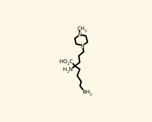 BCCCCC(N)(CCCN1CCN(C)CC1)C(=O)O